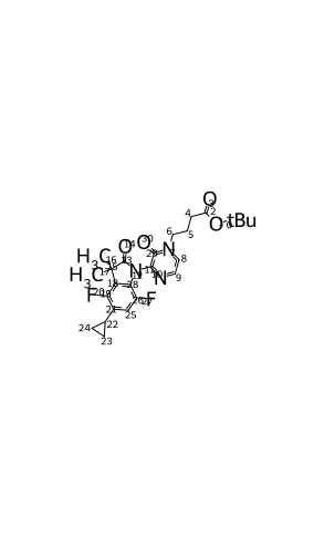 CC(C)(C)OC(=O)CCCn1ccnc(N2C(=O)C(C)(C)c3c(F)c(C4CC4)cc(F)c32)c1=O